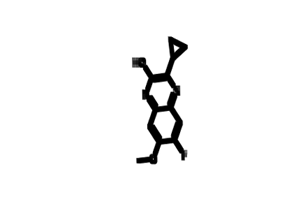 COc1cc2nc(O)c(C3CC3)nc2cc1F